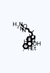 CC[C@H]1[C@@H](O)[C@@H]2[C@H](CC[C@]3(C)[C@@H]([C@H](C)CCc4nnc(N)o4)CC[C@@H]23)[C@@]2(C)CC[C@@H](C)C[C@@H]12